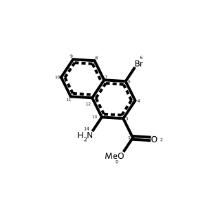 COC(=O)c1cc(Br)c2ccccc2c1N